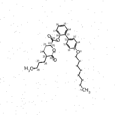 CCCCCCCCOc1ccc(-c2ccccc2OC(=O)[C@@H]2CCC(CCCC)C(=O)O2)cc1